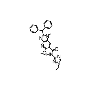 CCn1cnc(NC(=O)c2cc3c(nc2OC)nc(C(c2ccccc2)c2ccccc2)n3C)n1